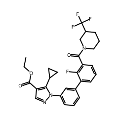 CCOC(=O)c1cnn(-c2cccc(-c3cccc(C(=O)N4CCCC(C(F)(F)F)C4)c3F)c2)c1C1CC1